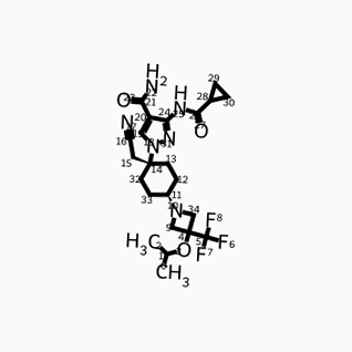 CC(C)OC1(C(F)(F)F)CN([C@H]2CC[C@@](CC#N)(n3cc(C(N)=O)c(NC(=O)C4CC4)n3)CC2)C1